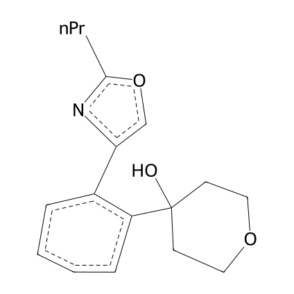 CCCc1nc(-c2ccccc2C2(O)CCOCC2)co1